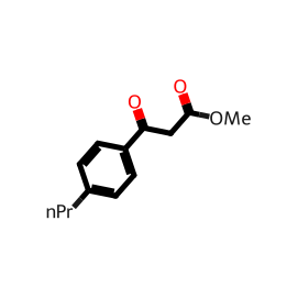 CCCc1ccc(C(=O)CC(=O)OC)cc1